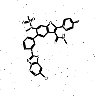 CNC(=O)c1c(-c2ccc(F)cc2)oc2cc(N(C)S(C)(=O)=O)c(-c3cccc(-c4nc5ncc(Cl)cc5s4)c3)cc12